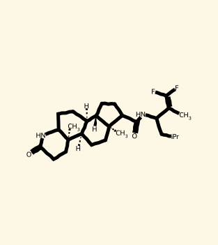 CC(=C(F)F)C(CC(C)C)NC(=O)C1CC[C@H]2[C@@H]3CCC4NC(=O)CC[C@]4(C)[C@@H]3CC[C@]12C